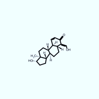 C[C@]12CC[C@@H]3[C@H]4C=CC(=O)/C(=C/O)[C@@H]4CC[C@H]3[C@@H]1CC[C@@H]2O